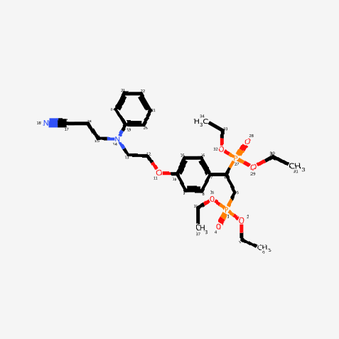 CCOP(=O)(CC(c1ccc(OCCN(CCC#N)c2ccccc2)cc1)P(=O)(OCC)OCC)OCC